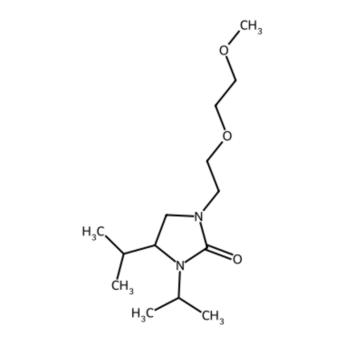 COCCOCCN1CC(C(C)C)N(C(C)C)C1=O